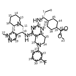 CC[C@@H](Nc1nc2c(c(N[C@@H](CN3CCCCC3)c3cnn(C)c3)n1)CN(c1cccc(F)c1)CC2)C1CCC(C(=O)OC)CC1